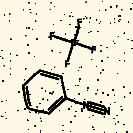 F[B-](F)(F)F.N#[N+]c1ccccc1